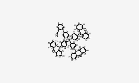 N#Cc1ccccc1-c1ccc([Si](c2ccc(N3c4ccccc4Oc4ccccc43)cc2)(c2ccc(N3c4ccccc4Oc4ccccc43)cc2)c2ccc(N3c4ccccc4Oc4ccccc43)cc2)cc1